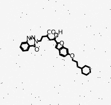 O=C(CC(CCn1nnc2ccccc2c1=O)C(=O)O)c1cc2ccc(OCCCC3CCCCC3)cc2o1